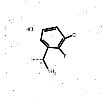 C[C@@H](N)c1cccc(Cl)c1F.Cl